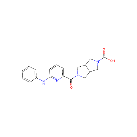 O=C(O)N1CC2CN(C(=O)c3cccc(Nc4ccccc4)n3)CC2C1